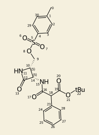 Cc1ccc(S(=O)(=O)OC[C@H]2NC(=O)[C@H]2NC(=O)C(C(=O)OC(C)(C)C)c2ccccc2)cc1